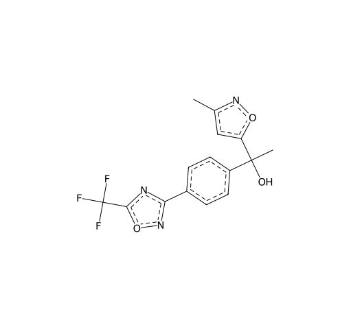 Cc1cc(C(C)(O)c2ccc(-c3noc(C(F)(F)F)n3)cc2)on1